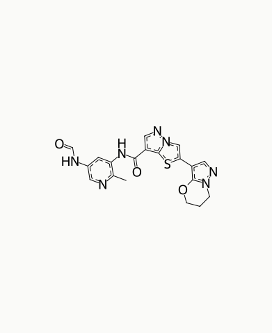 Cc1ncc(NC=O)cc1NC(=O)c1cnn2cc(-c3cnn4c3OCCC4)sc12